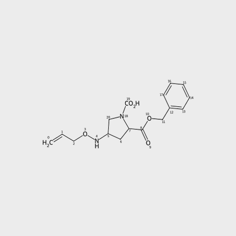 C=CCONC1CC(C(=O)OCc2ccccc2)N(C(=O)O)C1